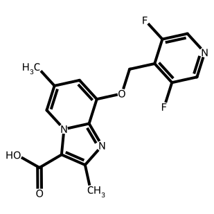 Cc1cc(OCc2c(F)cncc2F)c2nc(C)c(C(=O)O)n2c1